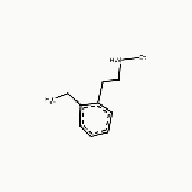 C[CH2][AlH][CH2]Cc1ccccc1CC(F)(F)F